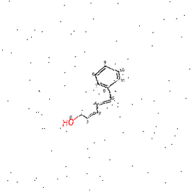 OC/C=C\C=C\c1ccccc1